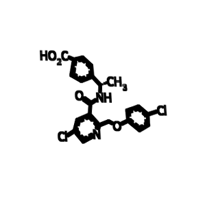 C[C@H](NC(=O)c1cc(Cl)cnc1COc1ccc(Cl)cc1)c1ccc(C(=O)O)cc1